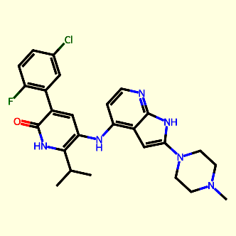 CC(C)c1[nH]c(=O)c(-c2cc(Cl)ccc2F)cc1Nc1ccnc2[nH]c(N3CCN(C)CC3)cc12